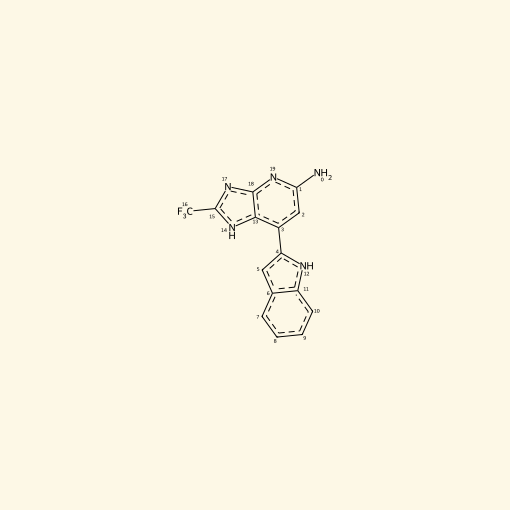 Nc1cc(-c2cc3ccccc3[nH]2)c2[nH]c(C(F)(F)F)nc2n1